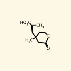 CC(=CC1(C)CCOC(=O)C1)C(=O)O